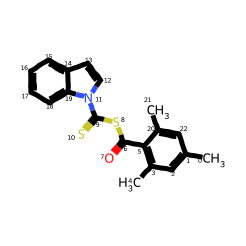 Cc1cc(C)c(C(=O)SC(=S)n2ccc3ccccc32)c(C)c1